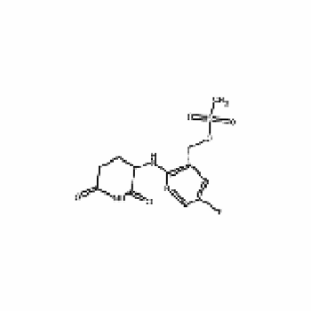 CS(=O)(=O)OCc1cc(F)cnc1NC1CCC(=O)NC1=O